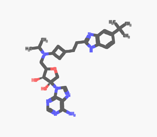 CC(C)N(CC1OC[C@@](O)(n2cnc3c(N)ncnc32)[C@@H]1O)C1CC(CCc2nc3cc(C(C)(C)C)ccc3[nH]2)C1